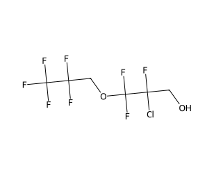 OCC(F)(Cl)C(F)(F)OCC(F)(F)C(F)(F)F